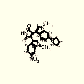 Cn1cc(C2=C(c3cn(C)c4cc([N+](=O)[O-])ccc34)C(=O)NC2=O)c2ccc(N3CCCC3)cc21